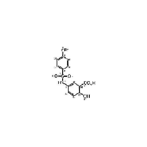 CCCc1ccc(S(=O)(=O)Nc2ccc(O)c(C(=O)O)c2)cc1